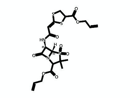 C=CCOC(=O)C1CSC(=CC(=O)N[C@@H]2C(=O)N3C(C(=O)OCC=C)C(C)(C)S(=O)(=O)[C@@H]23)S1